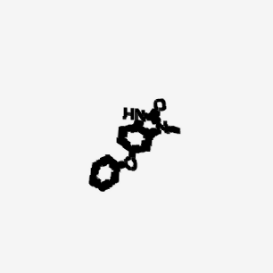 Cn1c(=O)[nH]c2ccc(Oc3ccccc3)cc21